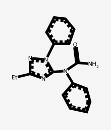 CCc1nc(N(C(N)=O)c2ccccc2)n(-c2ccccc2)n1